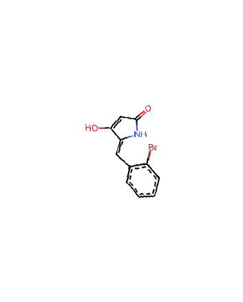 O=C1C=C(O)C(=Cc2ccccc2Br)N1